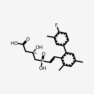 Cc1cc(C)c(C=CP(=O)(O)C[C@H](O)CC(=O)O)c(-c2ccc(F)c(C)c2)c1